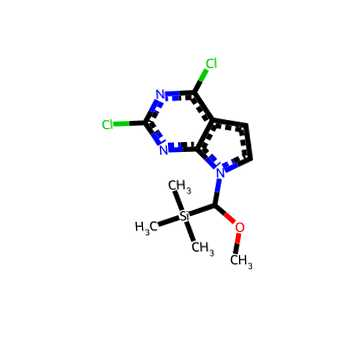 COC(n1ccc2c(Cl)nc(Cl)nc21)[Si](C)(C)C